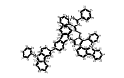 N/C(=N\C(=C/CC1C(c2ccccc2-n2c3ccccc3c3ccccc32)=CC=C1n1c2ccccc2c2cc(-c3ccc4c(c3)c3ccccc3n4-c3ccccc3)ccc21)c1ccccc1)c1ccccc1